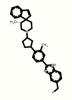 Cc1cc(-c2nc3cc(CF)ccc3[nH]2)ccc1C1CCC(N2CCC3(C=Cc4ccccc43)[C@@H](C)C2)C1